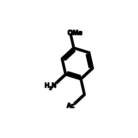 COc1ccc(CC(C)=O)c(N)c1